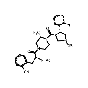 CC(=O)N[C@@H](Cc1ccccc1C#N)C(=O)N1CCN(C(=O)[C@@H]2CN(C(C)(C)C)C[C@H]2c2ccccc2F)[C@@H](C)C1